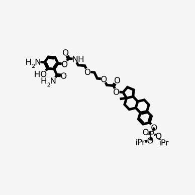 CC(C)OP(=O)(Oc1ccc2c(c1)CCC1C2CCC2(C)C(OC(=O)COCCOCCNC(=O)Oc3ccc(N)c(O)c3C(N)=O)CCC12)OC(C)C